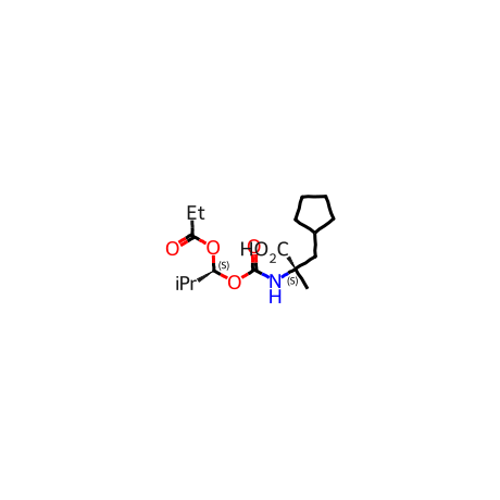 CCC(=O)O[C@@H](OC(=O)N[C@@](C)(CC1CCCC1)C(=O)O)C(C)C